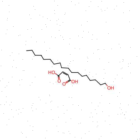 CCCCCCCCCCCCCCCCCCO.O=C(O)/C=C\C(=O)O